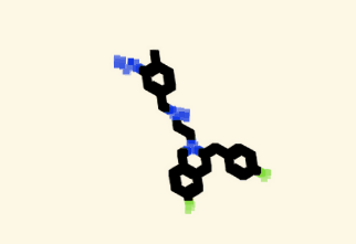 Cc1ccc(CNCCN2Cc3ccc(F)cc3CC2Cc2ccc(F)cc2)cc1N